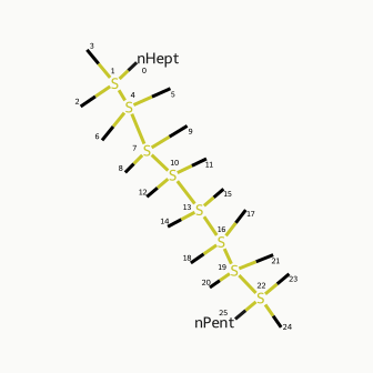 CCCCCCCS(C)(C)S(C)(C)S(C)(C)S(C)(C)S(C)(C)S(C)(C)S(C)(C)S(C)(C)CCCCC